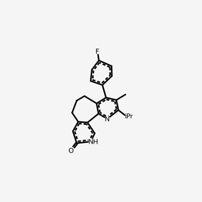 Cc1c(C(C)C)nc2c(c1-c1ccc(F)cc1)CCCc1cc(=O)[nH]cc1-2